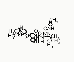 CN1CC(NC(=O)c2nc(NC(=O)N[C@@]3(C=O)C=C[C@@H](Oc4ccc5nnc(C(C)(C)C)n5c4)c4ccccc43)cc(C(C)(C)C)n2)C1